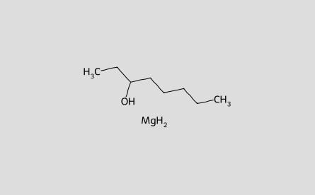 CCCCCC(O)CC.[MgH2]